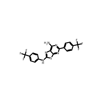 Nc1nc(-c2ccc(C(F)(F)F)cc2)nc2sc(Nc3ccc(C(F)(F)F)cc3)nc12